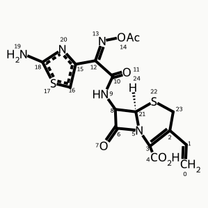 C=CC1=C(C(=O)O)N2C(=O)C(NC(=O)/C(=N\OC(C)=O)c3csc(N)n3)[C@H]2SC1